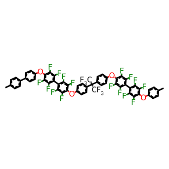 Cc1ccc(Oc2c(F)c(F)c(-c3c(F)c(F)c(Oc4ccc(C(c5ccc(Oc6c(F)c(F)c(-c7c(F)c(F)c(Oc8ccc(-c9ccc(C)cc9)cc8)c(F)c7F)c(F)c6F)cc5)(C(F)(F)F)C(F)(F)F)cc4)c(F)c3F)c(F)c2F)cc1